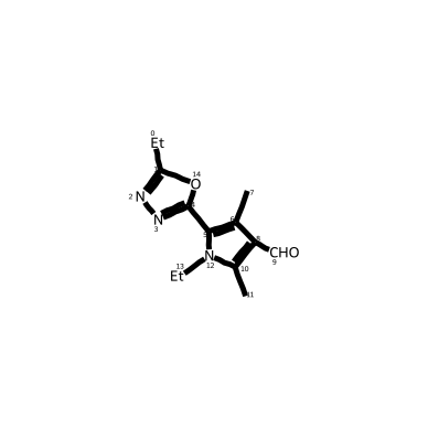 CCc1nnc(-c2c(C)c(C=O)c(C)n2CC)o1